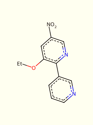 CCOc1cc([N+](=O)[O-])cnc1-c1cccnc1